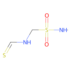 [NH]S(=O)(=O)CNC=S